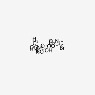 Cc1cn([C@@H]2O[C@H](COC(=O)OCCc3c(Br)cccc3[N+](=O)[O-])C(O)C2O)c(=O)[nH]c1=O